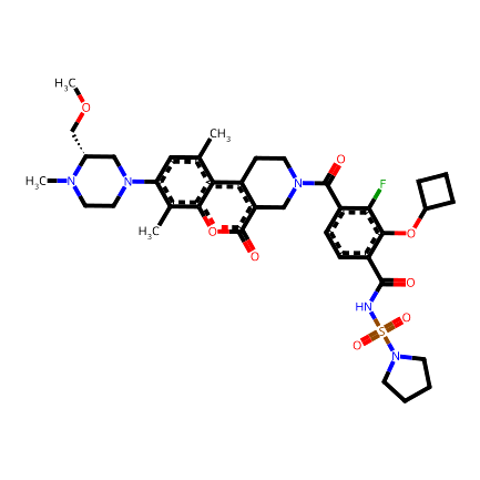 COC[C@@H]1CN(c2cc(C)c3c4c(c(=O)oc3c2C)CN(C(=O)c2ccc(C(=O)NS(=O)(=O)N3CCCC3)c(OC3CCC3)c2F)CC4)CCN1C